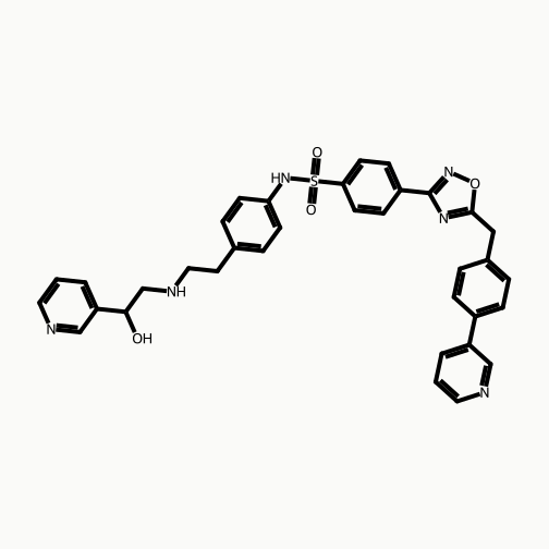 O=S(=O)(Nc1ccc(CCNCC(O)c2cccnc2)cc1)c1ccc(-c2noc(Cc3ccc(-c4cccnc4)cc3)n2)cc1